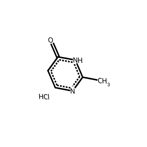 Cc1nccc(=O)[nH]1.Cl